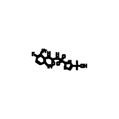 CC(C)c1ccc(F)c(C(C)C)c1NC(=O)NS(=O)(=O)c1nc(C(C)(C)O)cs1